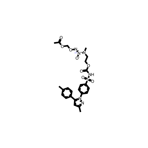 CC(=O)OCO/N=[N+](\[O-])N(C)CCOC(=O)NS(=O)(=O)c1ccc(-n2nc(C)cc2-c2ccc(C)cc2)cc1